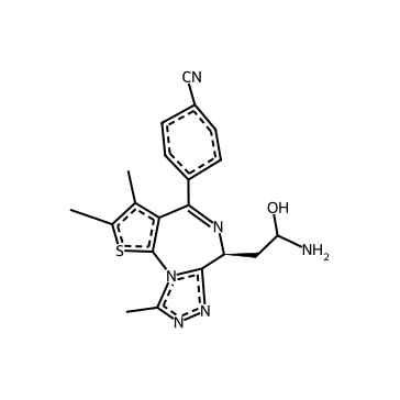 Cc1sc2c(c1C)C(c1ccc(C#N)cc1)=N[C@@H](CC(N)O)c1nnc(C)n1-2